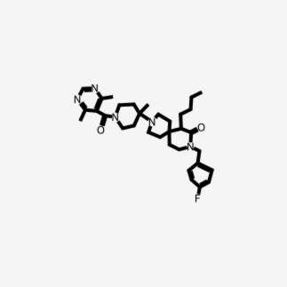 CCCCC1C(=O)N(Cc2ccc(F)cc2)CCC12CCN(C1(C)CCN(C(=O)c3c(C)ncnc3C)CC1)CC2